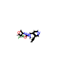 CC#Cc1cnccc1CN(C)C(=O)NC1COCC1(F)F